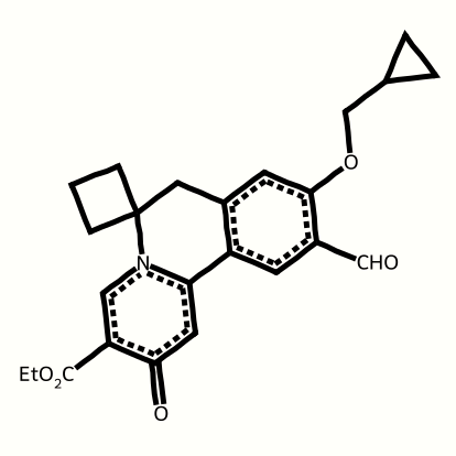 CCOC(=O)c1cn2c(cc1=O)-c1cc(C=O)c(OCC3CC3)cc1CC21CCC1